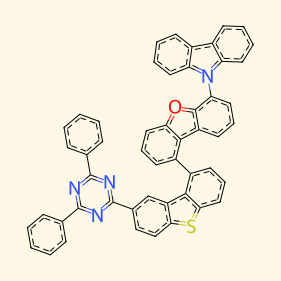 c1ccc(-c2nc(-c3ccccc3)nc(-c3ccc4sc5cccc(-c6cccc7oc8c(-n9c%10ccccc%10c%10ccccc%109)cccc8c67)c5c4c3)n2)cc1